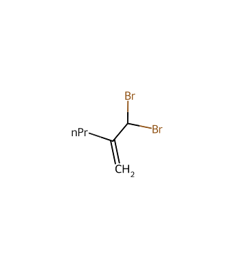 C=C(CCC)C(Br)Br